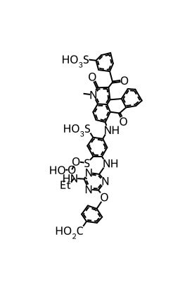 CCNc1nc(Nc2cc(Nc3ccc4c5c3C(=O)c3ccccc3-c5c(C(=O)c3cccc(S(=O)(=O)O)c3)c(=O)n4C)c(S(=O)(=O)O)cc2SOOO)nc(Oc2ccc(C(=O)O)cc2)n1